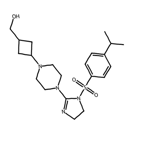 CC(C)c1ccc(S(=O)(=O)N2CCN=C2N2CCN(C3CC(CO)C3)CC2)cc1